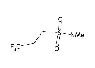 CNS(=O)(=O)CCC(F)(F)F